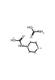 NC(O)=S.OC(=S)NN1CCSCC1